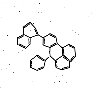 c1ccc(-c2ccc(-c3cccc4ccccc34)cc2N(c2ccccc2)c2ccccc2)cc1